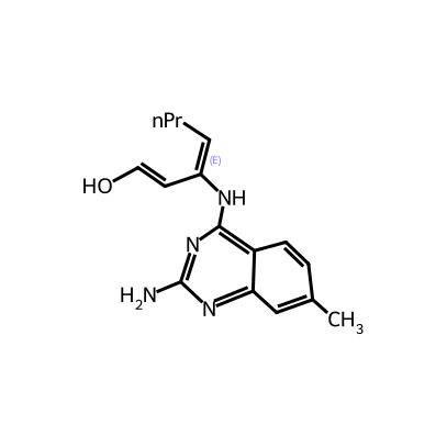 CCC/C=C(\C=CO)Nc1nc(N)nc2cc(C)ccc12